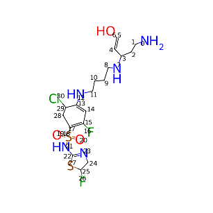 NCCC(/C=C/O)NCCCCNC1=CC(F)=C(S(=O)(=O)NC2=NCC(F)S2)CC1Cl